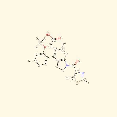 Cc1ccc(-c2c3c(cc(C)c2[C@H](OC(C)(C)C)C(=O)O)N(C(=O)c2nc(C)sc2C)CC3)cc1